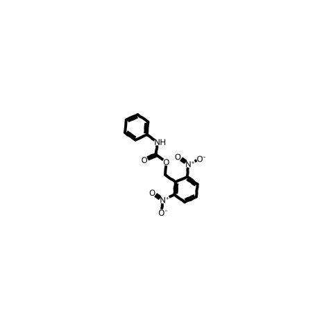 O=C(Nc1ccccc1)OCc1c([N+](=O)[O-])cccc1[N+](=O)[O-]